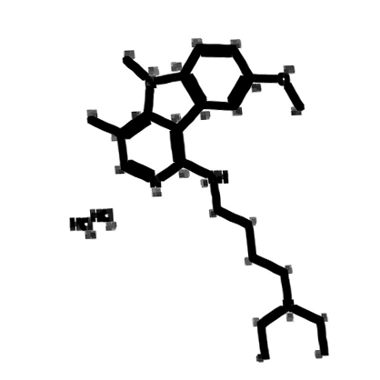 CCN(CC)CCCCNc1ncc(C)c2c1c1cc(OC)ccc1n2C.Cl.Cl